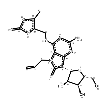 C=CCn1c(=O)n([C@@H]2O[C@H](CO)[C@@H](O)[C@H]2O)c2nc(N)nc(OCc3oc(=O)oc3C)c21